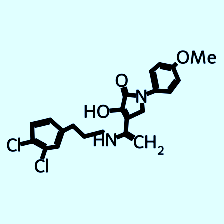 C=C(NCCCc1ccc(Cl)c(Cl)c1)C1=C(O)C(=O)N(c2ccc(OC)cc2)C1